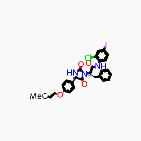 COCCOc1ccc([C@H]2NC(=O)N([C@@H](Cc3ccccc3)C(=O)Nc3ccc(I)cc3Cl)C2=O)cc1